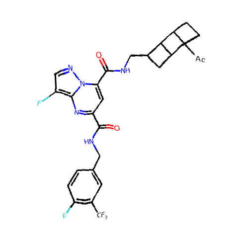 CC(=O)C12C3C4C1C1C2C3C41CNC(=O)c1cc(C(=O)NCc2ccc(F)c(C(F)(F)F)c2)nc2c(F)cnn12